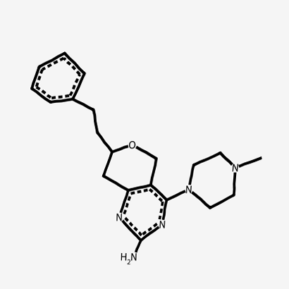 CN1CCN(c2nc(N)nc3c2COC(CCc2ccccc2)C3)CC1